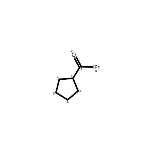 CC(C)C(=O)C1CCCC1